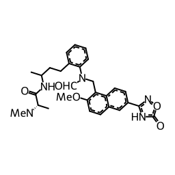 CN[C@@H](C)C(=O)NC(C)CCc1ccccc1N(C=O)Cc1c(OC)ccc2cc(-c3noc(=O)[nH]3)ccc12